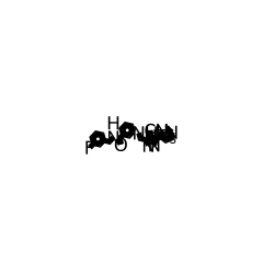 Cn1c(CNc2cccc(C(=O)NCc3cccc(F)c3)c2)nnc1-c1ccncn1